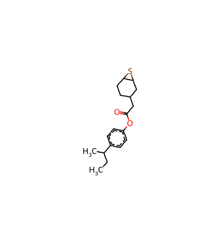 CCC(C)c1ccc(OC(=O)CC2CCC3SC3C2)cc1